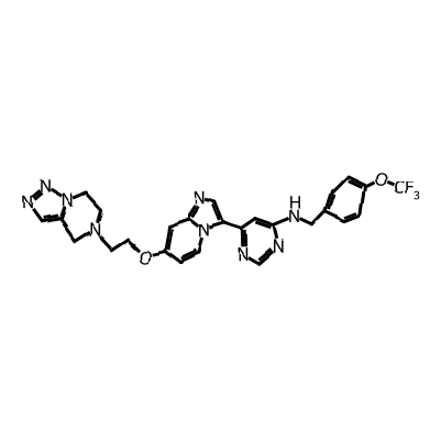 FC(F)(F)Oc1ccc(CNc2cc(-c3cnc4cc(OCCN5CCn6nncc6C5)ccn34)ncn2)cc1